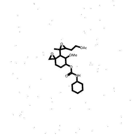 COC1C(OC(=O)NC2CCCCC2)CCC2(CO2)C1C1(C)OC1CCOC(C)=O